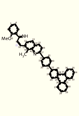 COc1ccccc1C(=N)/C=C\c1ccc2ccc(-c3ccc(-c4ccc5c6ccccc6c6ccccc6c5c4)cc3)nc2c1C